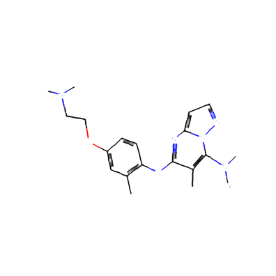 CCCN(CCC)c1c(C)c(Nc2ccc(OCCN(C)C)cc2C)nc2ccnn12